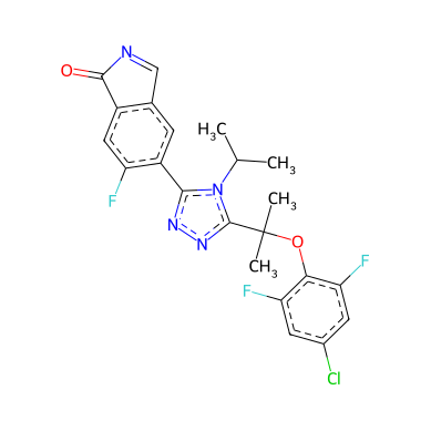 CC(C)n1c(-c2cc3c(cc2F)C(=O)N=C3)nnc1C(C)(C)Oc1c(F)cc(Cl)cc1F